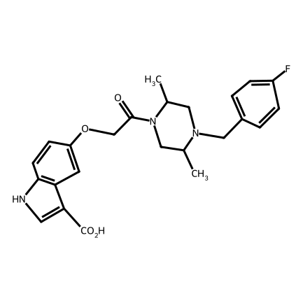 CC1CN(C(=O)COc2ccc3[nH]cc(C(=O)O)c3c2)C(C)CN1Cc1ccc(F)cc1